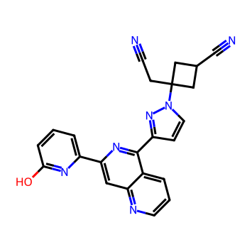 N#CCC1(n2ccc(-c3nc(-c4cccc(O)n4)cc4ncccc34)n2)CC(C#N)C1